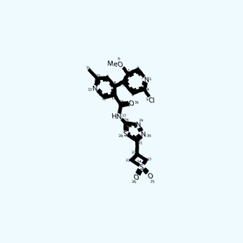 COc1cnc(Cl)cc1-c1cc(C)ncc1C(=O)Nc1nnc(C2CS(=O)(=O)C2)s1